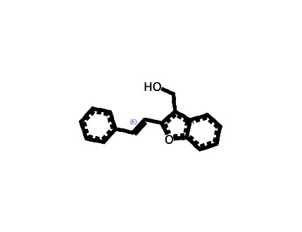 OCc1c(/C=C/c2ccccc2)oc2ccccc12